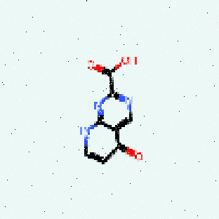 O=C(O)c1ncc2c(=O)cc[nH]c2n1